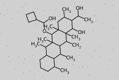 CC(O)C1C(C)CC2(C)C(OC(O)C3CCC3)C3(C)C(C)C4CCCC(C)C4C(C)C3C(C)C2(C)C1O